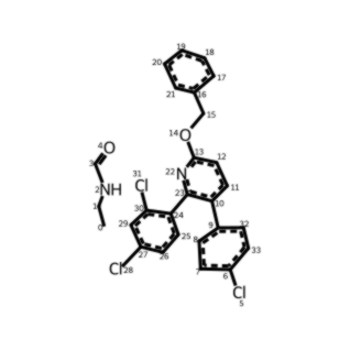 CCNC=O.Clc1ccc(-c2ccc(OCc3ccccc3)nc2-c2ccc(Cl)cc2Cl)cc1